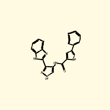 O=C(Nc1c[nH]nc1-c1nc2ccccc2[nH]1)c1cc(-c2ccccc2)c[nH]1